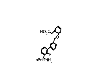 CCC[C@@H](N)c1cccc(-c2cccc(COc3ccccc3CC(=O)O)c2)c1F